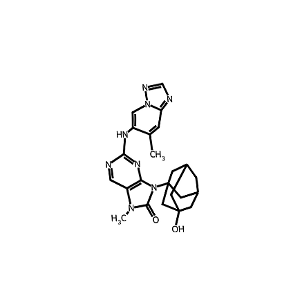 Cc1cc2ncnn2cc1Nc1ncc2c(n1)n(C13CC4CC(CC(O)(C4)C1)C3)c(=O)n2C